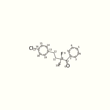 O=C(c1ccccc1)C(F)(F)CCc1ccc(Cl)cc1